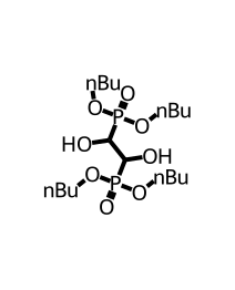 CCCCOP(=O)(OCCCC)C(O)C(O)P(=O)(OCCCC)OCCCC